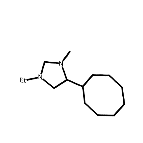 CCN1CC(C2CCCCCCC2)N(C)C1